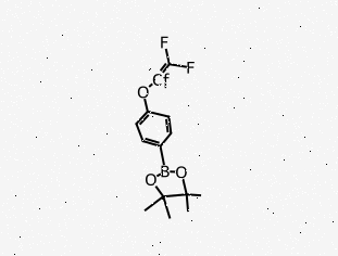 CC1(C)OB(c2ccc([O][Cf]=[C](F)F)cc2)OC1(C)C